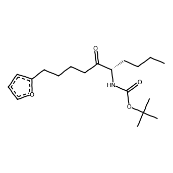 CCCC[C@H](NC(=O)OC(C)(C)C)C(=O)CCCCc1ccco1